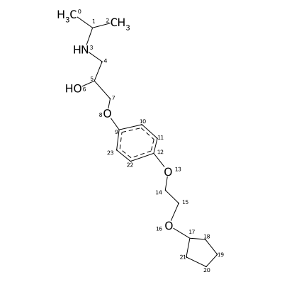 CC(C)NCC(O)COc1ccc(OCCOC2CCCC2)cc1